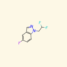 FC(F)Cn1ncc2cc(I)ccc21